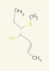 CC=CC(S)C(CC)SC